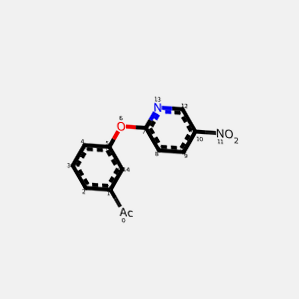 CC(=O)c1cccc(Oc2ccc([N+](=O)[O-])cn2)c1